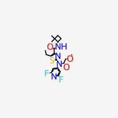 CCc1sc(N(C(=O)COC)c2cc(F)nc(F)c2)nc1C(=O)NC1CCC1(C)C